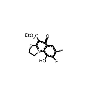 CCOC(=O)c1c2n(c3c(O)c(F)c(F)cc3c1=O)CCS2